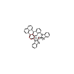 Cc1nc2ccccc2n1-c1cccc2c(-c3cccc4cccc(-c5ccccc5)c34)c3cccc(-n4c(C)nc5ccccc54)c3cc12